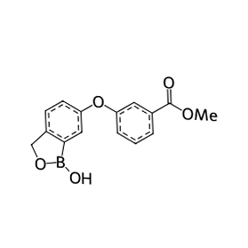 COC(=O)c1cccc(Oc2ccc3c(c2)B(O)OC3)c1